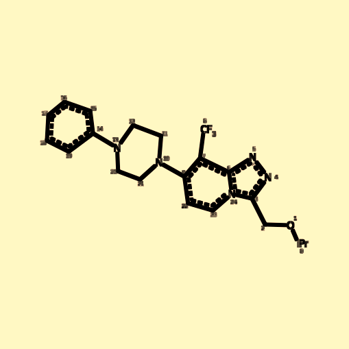 CC(C)OCc1nnc2c(C(F)(F)F)c(N3CCN(c4ccccc4)CC3)ccn12